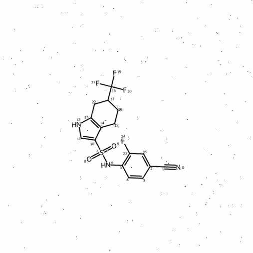 N#Cc1ccc(NS(=O)(=O)c2c[nH]c3c2CCC(C(F)(F)F)C3)c(F)c1